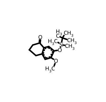 COc1cc2c(cc1O[Si](C)(C)C(C)(C)C)C(=O)CCC2